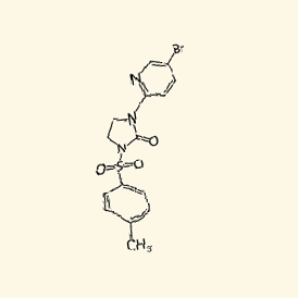 Cc1ccc(S(=O)(=O)N2CCN(c3ccc(Br)cn3)C2=O)cc1